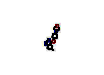 Cc1ccc2ncnc(OC3CCC(N4CCOCC4)CC3)c2c1